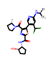 CC[C@H](Nc1cc(C(F)F)c(-c2sc(C(=O)N[C@@H]3CCC[C@H]3O)nc2C(=O)N2CCC[C@@H]2C)cn1)C(F)(F)F